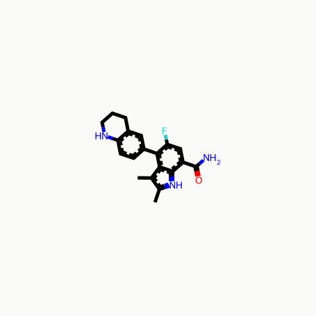 Cc1[nH]c2c(C(N)=O)cc(F)c(-c3ccc4c(c3)CCCN4)c2c1C